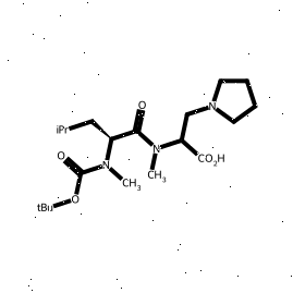 CC(C)C[C@@H](C(=O)N(C)C(CN1CCCC1)C(=O)O)N(C)C(=O)OC(C)(C)C